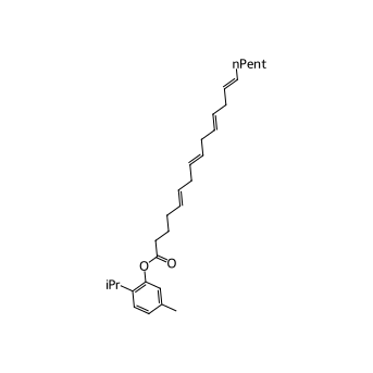 CCCCCC=CCC=CCC=CCC=CCCCC(=O)Oc1cc(C)ccc1C(C)C